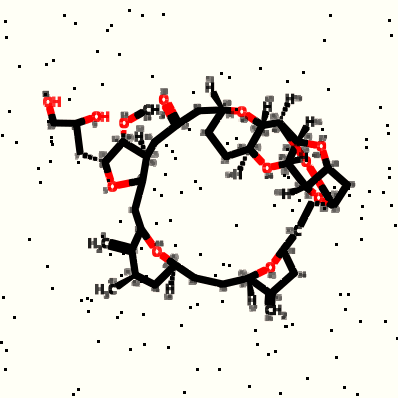 C=C1C2CC3O[C@H](CC(O)CO)[C@H](OC)[C@H]3CC(=O)C[C@H]3CC[C@@H]4O[C@@H]5[C@H]6OC7C[C@](CCC8CC(=C)[C@H](CC[C@@H](C[C@H]1C)O2)O8)(O[C@H]6[C@H]4O3)O[C@@H]75